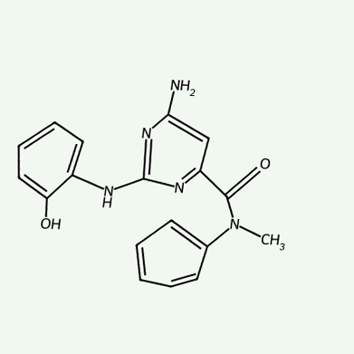 CN(C(=O)c1cc(N)nc(Nc2ccccc2O)n1)c1ccccc1